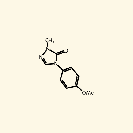 COc1ccc(-n2cnn(C)c2=O)cc1